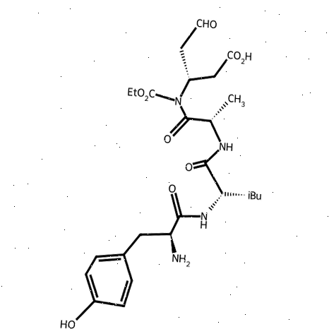 CCOC(=O)N(C(=O)[C@H](C)NC(=O)[C@@H](NC(=O)[C@@H](N)Cc1ccc(O)cc1)[C@@H](C)CC)[C@H](CC=O)CC(=O)O